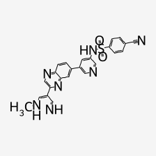 CN/C=C(\C=N)c1cnc2ccc(-c3cncc(NS(=O)(=O)c4ccc(C#N)cc4)c3)cc2n1